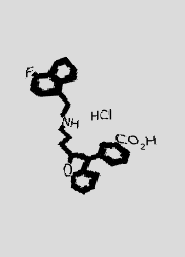 Cl.O=C(O)c1cccc(C2CC(CCCNCCc3ccc(F)c4ccccc34)Oc3ccccc32)c1